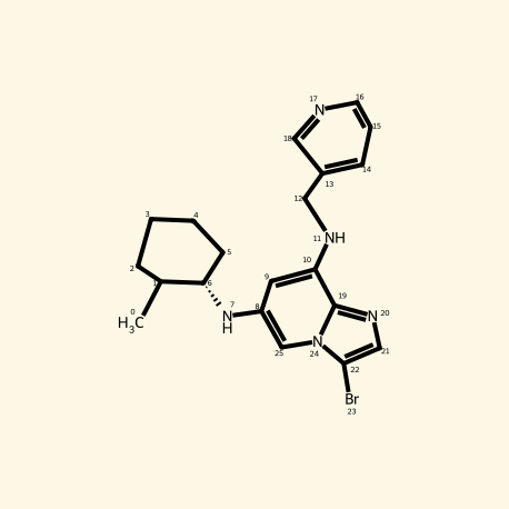 CC1CCCC[C@@H]1Nc1cc(NCc2cccnc2)c2ncc(Br)n2c1